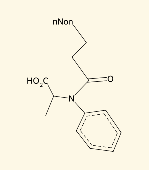 CCCCCCCCCCCC(=O)N(c1ccccc1)C(C)C(=O)O